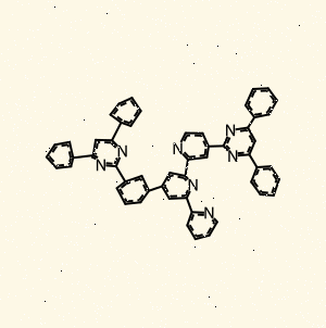 c1ccc(-c2cc(-c3ccccc3)nc(-c3cccc(-c4cc(-c5ccccn5)nc(-c5cc(-c6nc(-c7ccccc7)cc(-c7ccccc7)n6)ccn5)c4)c3)n2)cc1